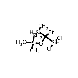 CCC(O[Si](C)(C)C)([SiH2]C)[SiH](Cl)Cl